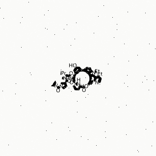 CCc1ccncc1-c1c2c3cc(ccc3n1CC)-c1cc(O)cc(c1)C[C@H](NC(=O)[C@H](C(C)C)N(C)C(=O)[C@H]1CCN(C(=O)N3CC3)C1)C(=O)N1CCC[C@H](N1)C(=O)OCC(C)(C)C2